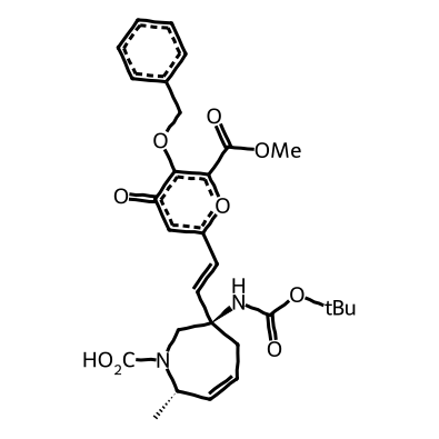 COC(=O)c1oc(/C=C/[C@]2(NC(=O)OC(C)(C)C)CC=C[C@H](C)N(C(=O)O)C2)cc(=O)c1OCc1ccccc1